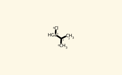 C[CH](C)[GaH][Cl]